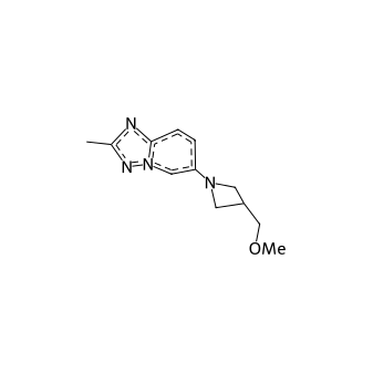 COCC1CN(c2ccc3nc(C)nn3c2)C1